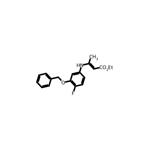 CCOC(=O)C=C(C)Nc1ccc(F)c(OCc2ccccc2)c1